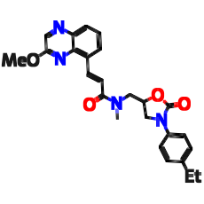 CCc1ccc(N2CC(CN(C)C(=O)C=Cc3cccc4ncc(OC)nc34)OC2=O)cc1